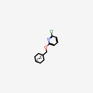 Clc1cccc(OCC23CCC(CC2)CC3)n1